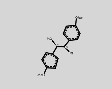 COc1ccc([C@@H](O)[C@H](O)c2ccc(OC)cc2)cc1